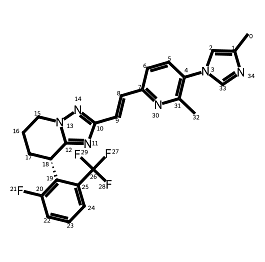 Cc1cn(-c2ccc(/C=C/c3nc4n(n3)CCC[C@H]4c3c(F)cccc3C(F)(F)F)nc2C)cn1